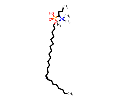 CCCCCCC/C=C\CCCCCCCCCCCCCCOP(=O)(O)C(CCC)[N+](C)(C)C